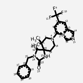 CC1(C)CN(c2cc(C(F)(F)F)cc3cncn23)CCC12NC(=O)N(Cc1ccccc1)C2=O